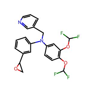 FC(F)Oc1ccc(N(Cc2cccnc2)c2cccc(C3CO3)c2)cc1OC(F)F